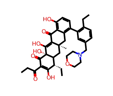 CCC(=O)C1=C(O)[C@@H](CC)C2C[C@]3(C)Cc4c(-c5cc(CN6CCOCC6)ccc5CC)ccc(O)c4C(=O)C3=C(O)[C@]2(O)C1=O